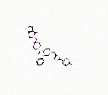 Cc1ccc(-c2ncc(CN3CC[C@@H](C(=O)N4CCC(O)(Cn5cnc6c(ccn6C)c5=O)CC4)[C@H](c4ccccc4)C3)s2)cn1